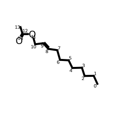 CCCCCCCC/C=C/COC(C)=O